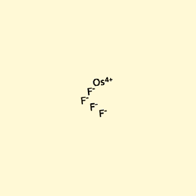 [F-].[F-].[F-].[F-].[Os+4]